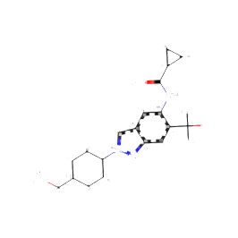 CC(C)(O)c1cc2nn(C3CCC(CO)CC3)cc2cc1NC(=O)C1CC1